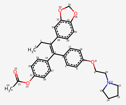 CC/C(=C(/c1ccc(OCCN2CCCC2)cc1)c1ccc(OC(C)=O)cc1)c1ccc2c(c1)OCO2